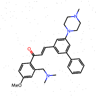 COc1ccc(C(=O)C=Cc2cc(-c3ccccc3)cc(N3CCN(C)CC3)c2)c(CN(C)C)c1